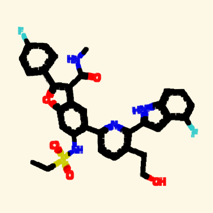 CCS(=O)(=O)Nc1cc2oc(-c3ccc(F)cc3)c(C(=O)NC)c2cc1-c1ccc(CCO)c(-c2cc3c(F)cccc3[nH]2)n1